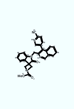 COC(=O)N1CC2(C1)C(=O)N(Cc1ncc3ccccc3c1-c1ccc(C#N)nc1)c1ccccc12